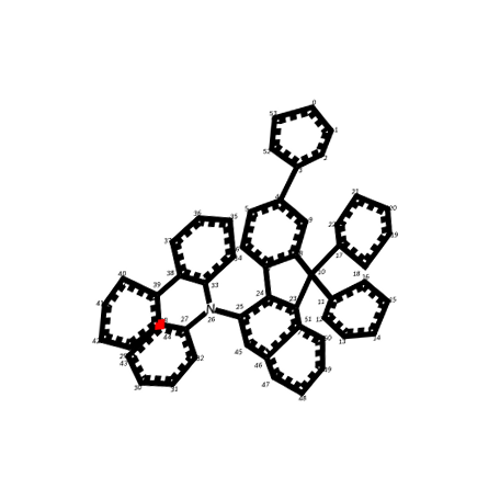 c1ccc(-c2ccc3c(c2)C(c2ccccc2)(c2ccccc2)c2c-3c(N(c3ccccc3)c3ccccc3-c3ccccc3)cc3ccccc23)cc1